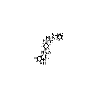 CCOC(=O)C(Cc1ccccc1)NC(=O)Nc1ccc(-n2nc3c4cccc(F)c4[nH]cc-3c2=O)cc1